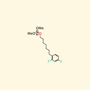 CO[SiH](OC)OCCCCCCCc1ccc(F)cc1F